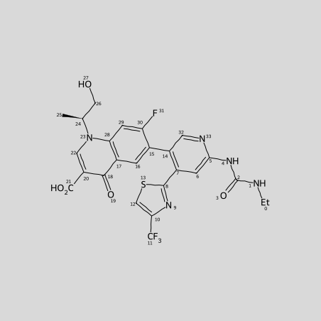 CCNC(=O)Nc1cc(-c2nc(C(F)(F)F)cs2)c(-c2cc3c(=O)c(C(=O)O)cn([C@@H](C)CO)c3cc2F)cn1